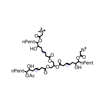 C#[N+]CC(=O)OC(CCCCC)C(O)C/C=C/CC(=O)OC(COC(=O)C/C=C/CC(O)C(CCCCC)OC(C)=O)COC(=O)C/C=C/CC(O)C(CCCCC)OC(=O)C[N+](C)(C)C